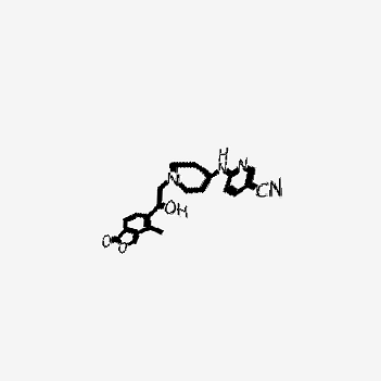 Cc1c(C(O)CN2CCC(Nc3ccc(C#N)cn3)CC2)ccc2c1COC2=O